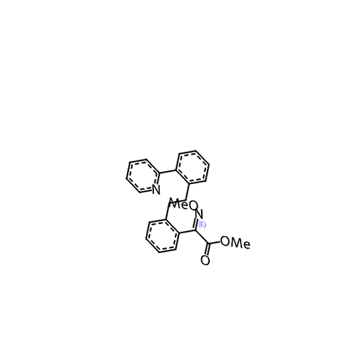 CO/N=C(/C(=O)OC)c1ccccc1CCc1ccccc1-c1ccccn1